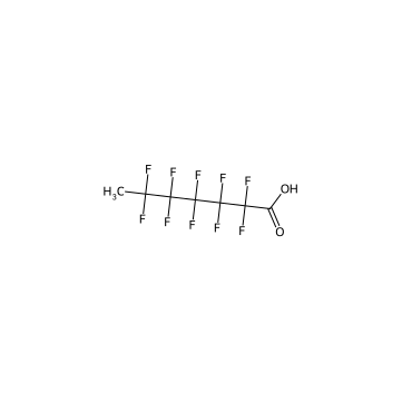 CC(F)(F)C(F)(F)C(F)(F)C(F)(F)C(F)(F)C(=O)O